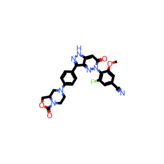 COc1cc(C#N)cc(F)c1-n1nc2c(-c3ccc(N4CCN5C(=O)OCC5C4)cc3)n[nH]c2cc1=O